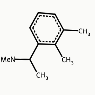 CNC(C)c1cccc(C)c1C